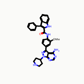 COc1cc(-c2nn(C3CCNCC3)c3ncnc(N)c23)ccc1NC(=O)c1[nH]c2ccccc2c1-c1ccccc1